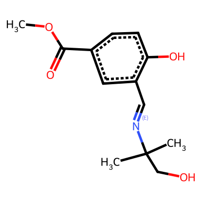 COC(=O)c1ccc(O)c(/C=N/C(C)(C)CO)c1